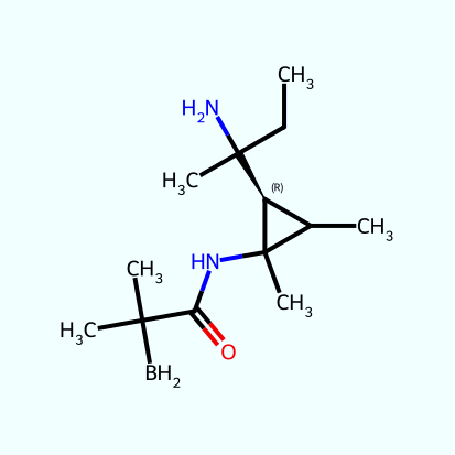 BC(C)(C)C(=O)NC1(C)C(C)[C@@H]1C(C)(N)CC